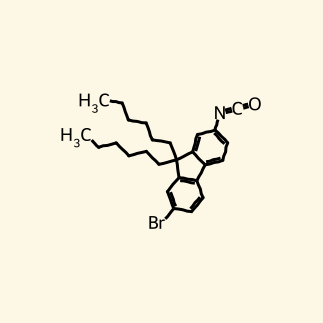 CCCCCCC1(CCCCCC)c2cc(Br)ccc2-c2ccc(N=C=O)cc21